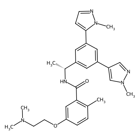 Cc1ccc(OCCN(C)C)cc1C(=O)N[C@H](C)c1cc(-c2cnn(C)c2)cc(-c2ccnn2C)c1